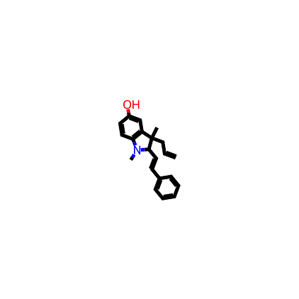 C=CCC1(C)c2cc(O)ccc2N(C)C1/C=C/c1ccccc1